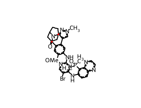 COc1cc(CN2C3CCC2CC(=O)C3)c(-c2cnn(C)c2)cc1Nc1ncc(Br)c(Nc2ccc3nccnc3c2P(C)(C)=O)n1